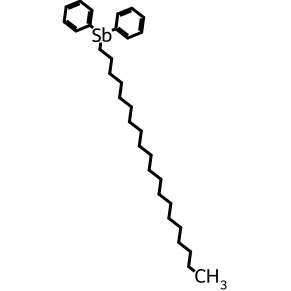 CCCCCCCCCCCCCCCCCCC[CH2][Sb]([c]1ccccc1)[c]1ccccc1